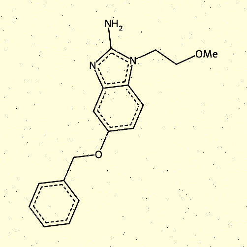 COCCn1c(N)nc2cc(OCc3ccccc3)ccc21